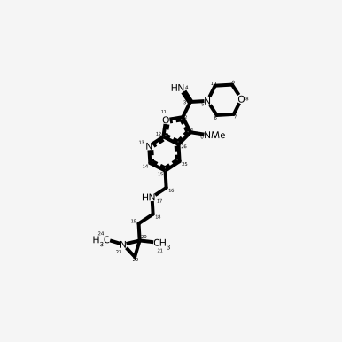 CNc1c(C(=N)N2CCOCC2)oc2ncc(CNCCC3(C)CN3C)cc12